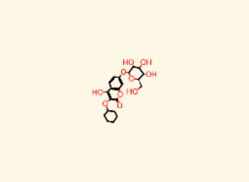 O=c1oc2cc(O[C@@H]3O[C@H](CO)[C@@H](O)[C@H](O)[C@H]3O)ccc2c(O)c1OC1CCCCC1